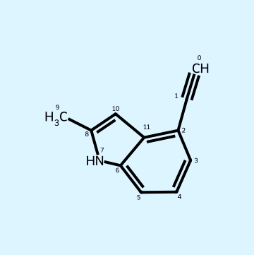 C#Cc1cccc2[nH]c(C)cc12